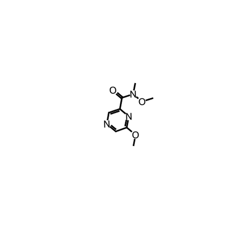 COc1cncc(C(=O)N(C)OC)n1